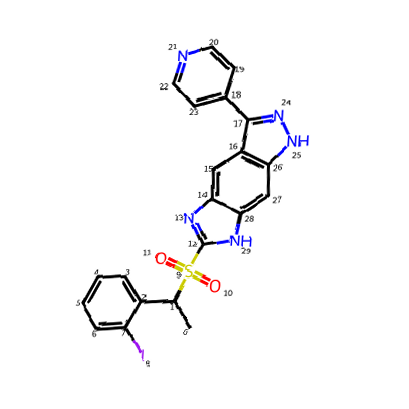 CC(c1ccccc1I)S(=O)(=O)c1nc2cc3c(-c4ccncc4)n[nH]c3cc2[nH]1